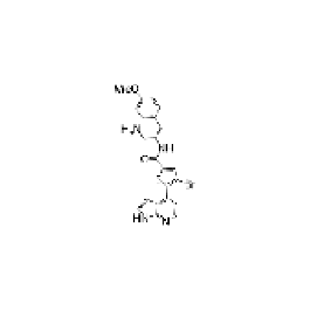 COc1ccc(C[C@H](CN)NC(=O)c2cc(Br)c(-c3ccnc4[nH]ccc34)s2)cc1